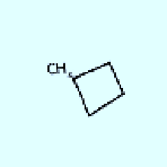 C.[CH]1CCC1